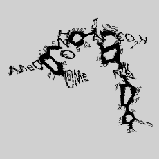 COc1cc(CC(=O)Nc2ccc(C(=O)N(CC(=O)O)Cc3ccc(-c4noc(-c5ccc(-c6ccc(C)cc6)cc5)n4)cc3)cc2)cc(OC)c1